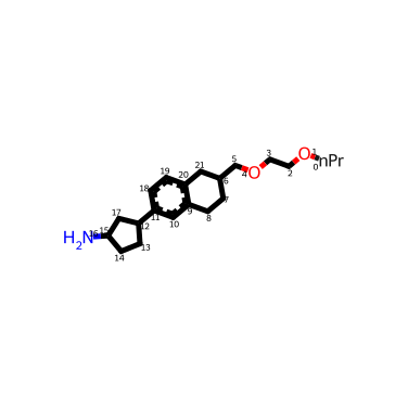 CCCOCCOCC1CCc2cc(C3CCC(N)C3)ccc2C1